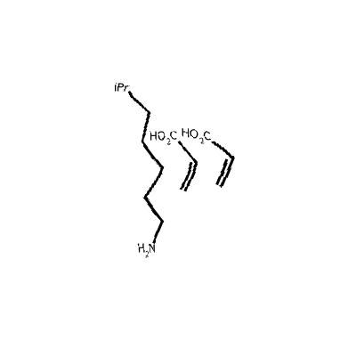 C=CC(=O)O.C=CC(=O)O.CC(C)CCCCCN